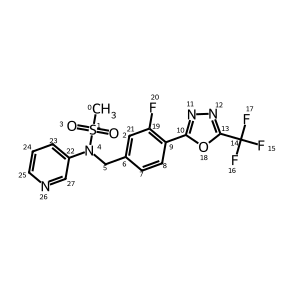 CS(=O)(=O)N(Cc1ccc(-c2nnc(C(F)(F)F)o2)c(F)c1)c1cccnc1